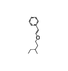 CCC(C)CCOC=Cc1ccccc1